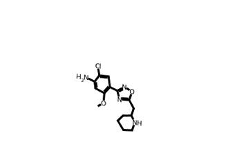 COc1cc(N)c(Cl)cc1-c1noc(CC2CCCCN2)n1